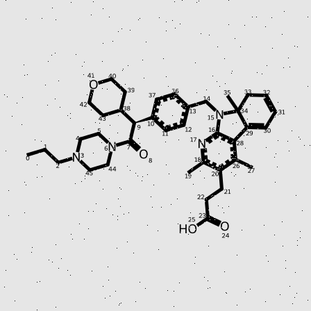 CCCN1CCN(C(=O)[C@H](c2ccc(CN3c4nc(C)c(CCC(=O)O)c(C)c4C4=CC=CCC43C)cc2)C2CCOCC2)CC1